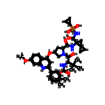 COc1ccc2c(OC3CC(C(=O)NC4(C(=O)NS(=O)(=O)C5CC5)CC45CC5)N(C(=O)C(NC(=O)OC(C)(C)C)C(C)(C)C)C3)cc(-c3ccccc3)nc2c1